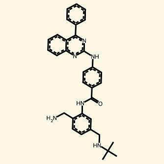 CC(C)(C)NCc1ccc(CN)c(NC(=O)c2ccc(Nc3nc(-c4ccccc4)c4ccccc4n3)cc2)c1